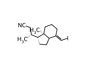 C[C@H](CC#N)[C@H]1CCC2/C(=C/I)CCC[C@@]21C